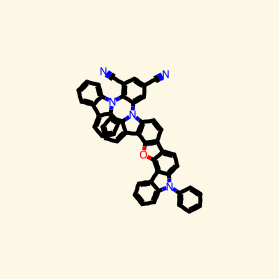 N#Cc1cc(C#N)c(-n2c3ccccc3c3ccccc32)c(-n2c3ccccc3c3c4oc5c(ccc6c5c5ccccc5n6-c5ccccc5)c4ccc32)c1